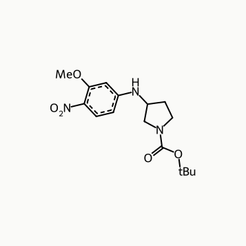 COc1cc(NC2CCN(C(=O)OC(C)(C)C)C2)ccc1[N+](=O)[O-]